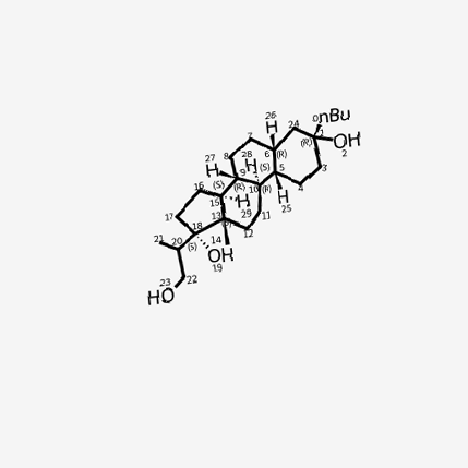 CCCC[C@@]1(O)CC[C@H]2[C@H](CC[C@@H]3[C@@H]2CC[C@@]2(C)[C@H]3CC[C@]2(O)C(C)CO)C1